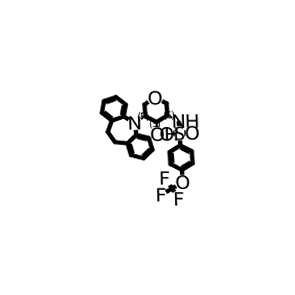 O=S(=O)(N[C@H]1COC[C@@H](N2c3ccccc3CCc3ccccc32)[C@@H]1O)c1ccc(OC(F)(F)F)cc1